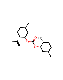 C=C(C)[C@@H]1CC[C@@H](C)C[C@H]1OC(=O)O[C@@H]1C[C@H](C)CC[C@H]1C(C)C